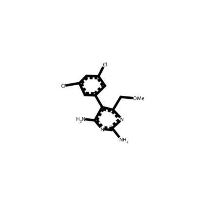 COCc1nc(N)nc(N)c1-c1cc(Cl)cc(Cl)c1